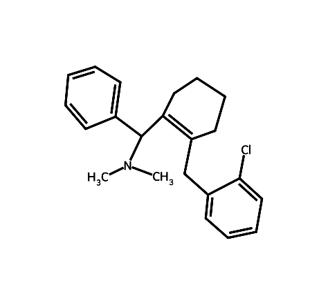 CN(C)C(C1=C(Cc2ccccc2Cl)CCCC1)c1ccccc1